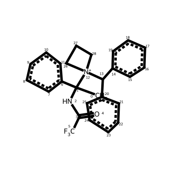 CC(NC(=O)C(F)(F)F)(c1ccccc1)[N+]1(C(c2ccccc2)c2ccccc2)CCC1